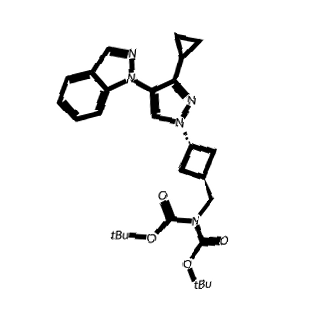 CC(C)(C)OC(=O)N(C[C@H]1C[C@H](n2cc(-n3ncc4ccccc43)c(C3CC3)n2)C1)C(=O)OC(C)(C)C